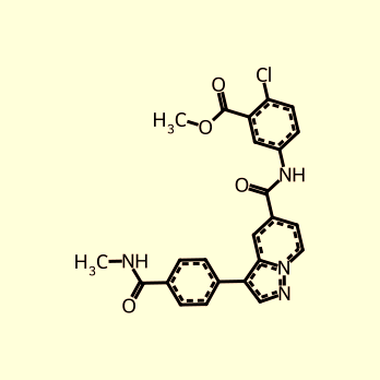 CNC(=O)c1ccc(-c2cnn3ccc(C(=O)Nc4ccc(Cl)c(C(=O)OC)c4)cc23)cc1